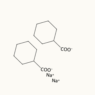 O=C([O-])C1CCCCC1.O=C([O-])C1CCCCC1.[Na+].[Na+]